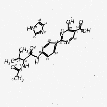 CC(=O)NC(C(=O)Nc1ccc(-c2ncc(C(=O)O)c(O)n2)cc1)C(C)C.c1c[nH]cn1